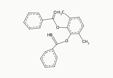 B=C(Oc1c(C)ccc(C)c1OC(=O)c1ccccc1)c1ccccc1